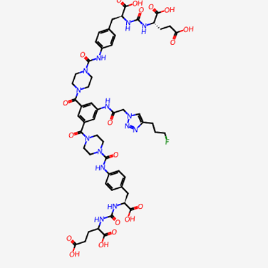 O=C(O)CCC(NC(=O)N[C@@H](Cc1ccc(NC(=O)N2CCN(C(=O)c3cc(NC(=O)Cn4cc(CCCF)nn4)cc(C(=O)N4CCN(C(=O)Nc5ccc(C[C@H](NC(=O)N[C@@H](CCC(=O)O)C(=O)O)C(=O)O)cc5)CC4)c3)CC2)cc1)C(=O)O)C(=O)O